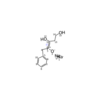 [Na].[Na].[O-]/[P+](Cc1ccccc1)=C(/O)CCO